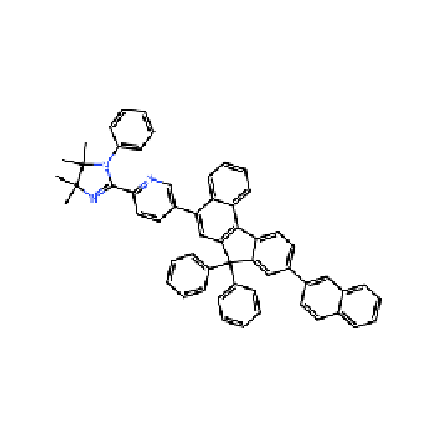 CC1(C)N=C(c2ccc(-c3cc4c(c5ccccc35)-c3ccc(-c5ccc6ccccc6c5)cc3C4(c3ccccc3)c3ccccc3)cn2)N(c2ccccc2)C1(C)C